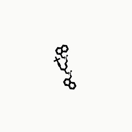 CN(C/C=C/C(=C\C#CC(C)(C)C)CN(C)Cc1cccc2ccccc12)Cc1cccc2ccccc12